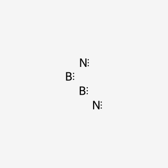 [B].[B].[N].[N]